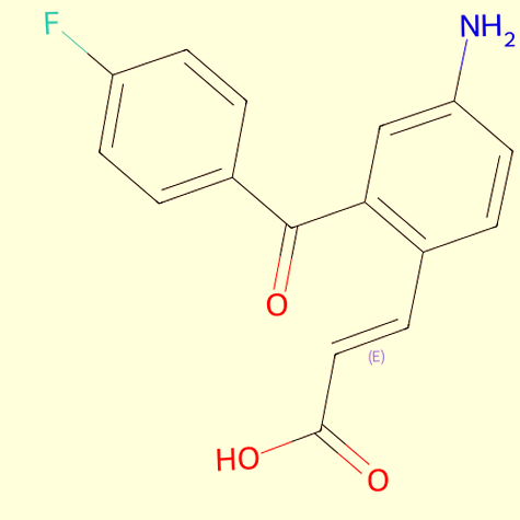 Nc1ccc(/C=C/C(=O)O)c(C(=O)c2ccc(F)cc2)c1